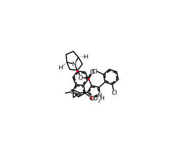 Cn1cc(C(=O)O)c2ccc(N3[C@@H]4CC[C@H]3C[C@@H](OC(=O)c3c(-c5c(Cl)cccc5Cl)noc3C3CC3)C4)cc21